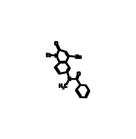 CCC(C)c1cc(=O)n(CC)c2ccc(N(C)C(=O)C3C=CC=CC3)cc12